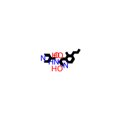 CCCc1ccc2nc(O)c(NC(=O)c3ccncc3)c(O)c2c1C